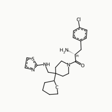 N[C@H](Cc1ccc(Cl)cc1)C(=O)N1CCC(CNc2nccs2)(C2CCCCC2)CC1